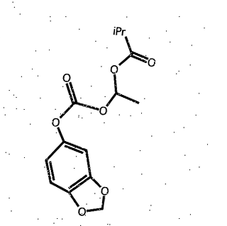 CC(OC(=O)Oc1ccc2c(c1)OCO2)OC(=O)C(C)C